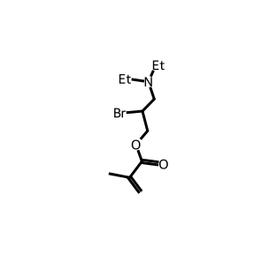 C=C(C)C(=O)OCC(Br)CN(CC)CC